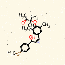 CSc1ccc(C(O)/C=C\c2cc(C)c(OC(C)(C)C(C)=O)c(C)c2)cc1